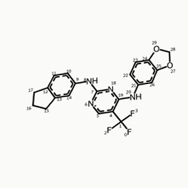 FC(F)(F)c1cnc(Nc2ccc3c(c2)CCC3)nc1Nc1ccc2c(c1)OCO2